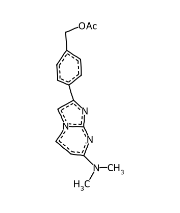 CC(=O)OCc1ccc(-c2cn3ccc(N(C)C)nc3n2)cc1